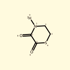 [2H]N1CCSC(=O)C1=O